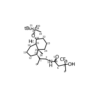 CC(CNC(=O)CC(C)(O)C(F)(F)F)[C@H]1CCC[C@H]2[C@@H](O[Si](C)(C)C(C)(C)C)CCC[C@]12C